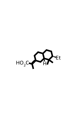 CC[C@@H]1CCC2CCC(=C(C)C(=O)O)C[C@H]2C1(C)C